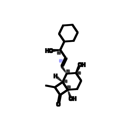 CC1C(=O)[C@]2(O)CC[C@H](O)[C@@H](/C=C/[C@@H](O)C3CCCCC3)[C@H]12